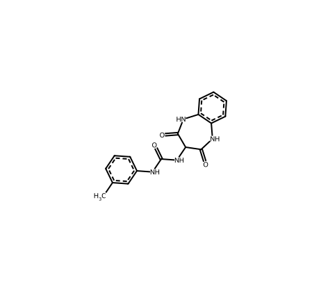 Cc1cccc(NC(=O)NC2C(=O)Nc3ccccc3NC2=O)c1